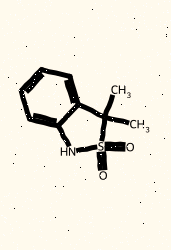 CC1(C)c2ccccc2NS1(=O)=O